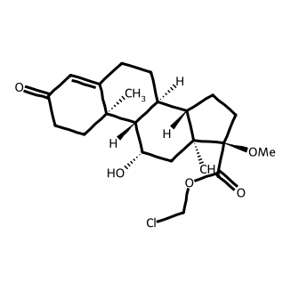 CO[C@]1(C(=O)OCCl)CC[C@H]2[C@@H]3CCC4=CC(=O)CC[C@]4(C)[C@H]3[C@@H](O)C[C@@]21C